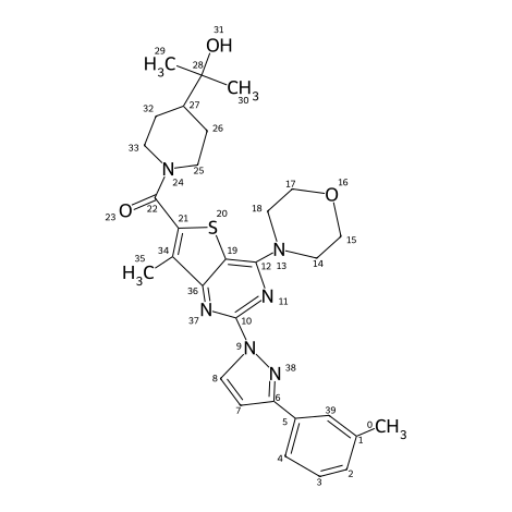 Cc1cccc(-c2ccn(-c3nc(N4CCOCC4)c4sc(C(=O)N5CCC(C(C)(C)O)CC5)c(C)c4n3)n2)c1